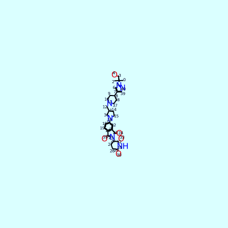 CC(C)(C=O)n1cc(C2CCN(CC3CCN(c4ccc5c(c4)C(=O)N(C4CCC(=O)NC4=O)C5=O)C3)CC2)cn1